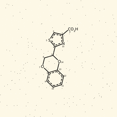 O=C(O)c1csc(C2COc3ccccc3O2)n1